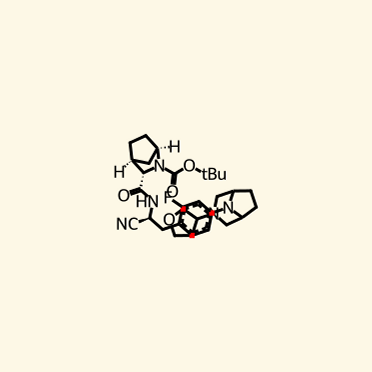 CC(C)(C)OC(=O)N1[C@@H]2CC[C@@H](C2)[C@H]1C(=O)N[C@H](C#N)Cc1ccc(N2C3CCC2CN(C2CCOC2)C3)cc1F